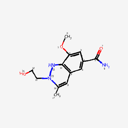 COc1cc(C(N)=O)cc2c1NN(CCO)C(C)=C2